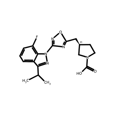 CC(C)c1nn(-c2noc(C[C@H]3CCN(C(=O)O)C3)n2)c2c(F)cccc12